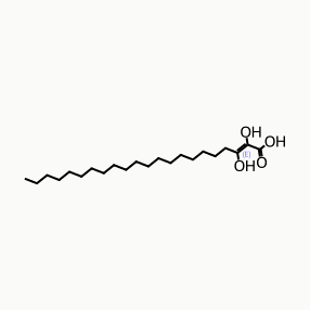 CCCCCCCCCCCCCCCCCCC/C(O)=C(\O)C(=O)O